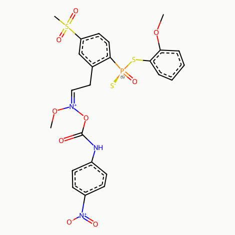 COc1ccccc1S[P@@](=O)([S-])c1ccc(S(C)(=O)=O)cc1CC=[N+](OC)OC(=O)Nc1ccc([N+](=O)[O-])cc1